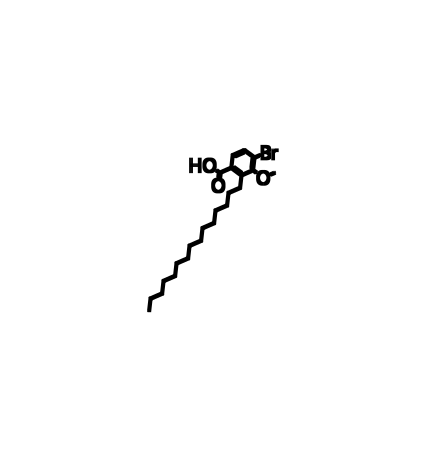 CCCCCCCCCCCCCCCc1c(C(=O)O)ccc(Br)c1OC